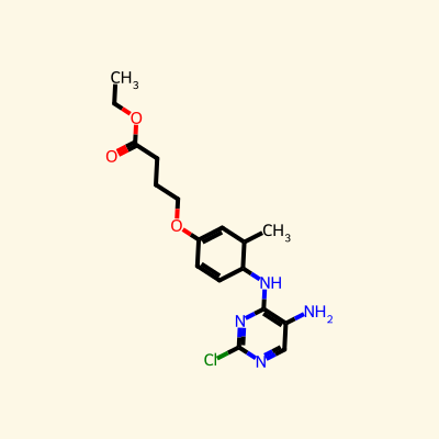 CCOC(=O)CCCOC1=CC(C)C(Nc2nc(Cl)ncc2N)C=C1